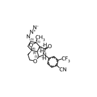 C[C@]12O[C@@]3(CCO[C@H]4[C@@H]3[C@@H]1C(=O)N4c1ccc(C#N)c(C(F)(F)F)c1)C[C@@H]2N=[N+]=[N-]